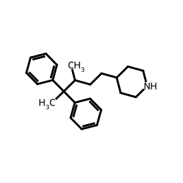 CC(CCC1CCNCC1)C(C)(c1ccccc1)c1ccccc1